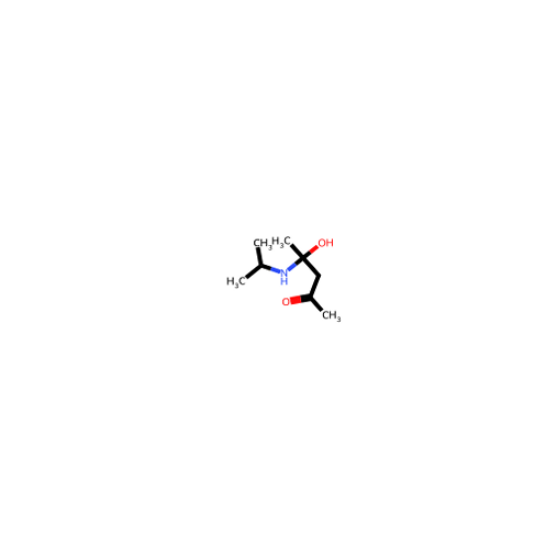 CC(=O)CC(C)(O)NC(C)C